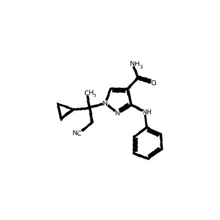 CC(CC#N)(C1CC1)n1cc(C(N)=O)c(Nc2ccccc2)n1